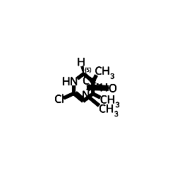 CC1C2=C(Cl)N[C@@H](CC(=O)N2C)[C@H]1C